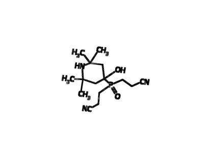 CC1(C)CC(O)(P(=O)(CCC#N)CCC#N)CC(C)(C)N1